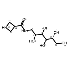 O=C(NC[C@H](O)[C@@H](O)[C@H](O)[C@H](O)CO)C1CNC1